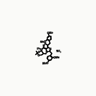 COc1ccc(Cc2nnc(OC(C)C)c3c2nc(Cc2ccc(OC)cc2OC)n3CC2COC(C)(C)OC2)c(OC)c1.N